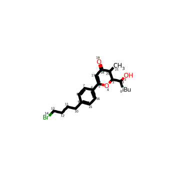 CCC(C)C(O)C1OC(c2ccc(CCCCBr)cc2)=CC(=O)C1C